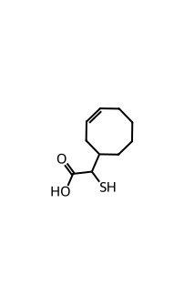 O=C(O)C(S)C1CC=CCCCC1